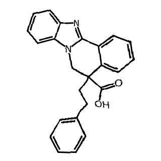 O=C(O)C1(CCc2ccccc2)Cn2c(nc3ccccc32)-c2ccccc21